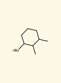 C[CH]CCC1CCCC(C)C1C